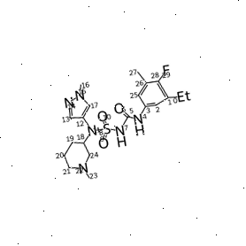 CCc1cc(NC(=O)NS(=O)(=O)N(c2cnn(C)c2)C2CCCN(C)C2)cc(C)c1F